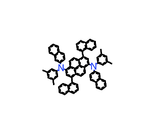 Cc1cc(C)cc(N(c2ccc3ccccc3c2)c2cc(-c3cccc4ccccc34)c3ccc4c(N(c5cc(C)cc(C)c5)c5ccc6ccccc6c5)cc(-c5cccc6ccccc56)c5ccc2c3c54)c1